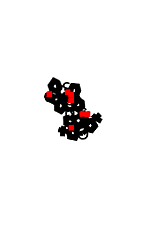 CC(C)(C)c1ccc2c(c1)C1(c3cc(C(C)(C)C)ccc3O2)c2ccccc2-c2c(N(c3ccc4c(c3)C3(c5ccccc5Sc5ccccc53)c3ccccc3-4)c3cccc4c3oc3ccccc34)cccc21